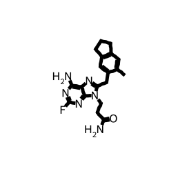 Cc1cc2c(cc1Cc1nc3c(N)nc(F)nc3n1CCC(N)=O)CCC2